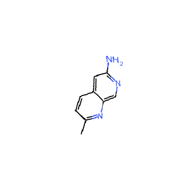 Cc1ccc2cc(N)ncc2n1